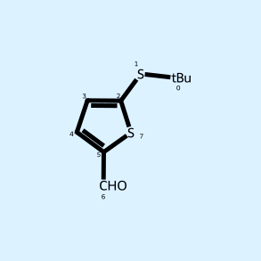 CC(C)(C)Sc1ccc(C=O)s1